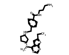 CN(c1ncnc2sc(CC(F)(F)F)cc12)[C@@H]1CC[C@H](NCc2ccc(C(=O)NCCCN)cc2)C1